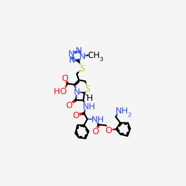 Cn1nnnc1SCC1=C(C(=O)O)N2C(=O)C(NC(=O)[C@@H](NC(=O)COc3ccccc3CN)c3ccccc3)[C@@H]2SC1